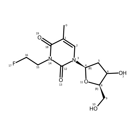 Cc1cn([C@H]2CC(O)[C@@H](CO)O2)c(=O)n(CCF)c1=O